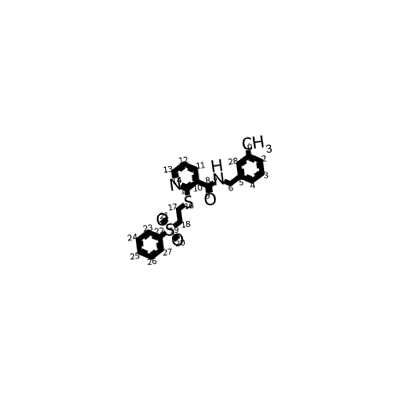 Cc1cccc(CNC(=O)c2cccnc2SCCS(=O)(=O)c2ccccc2)c1